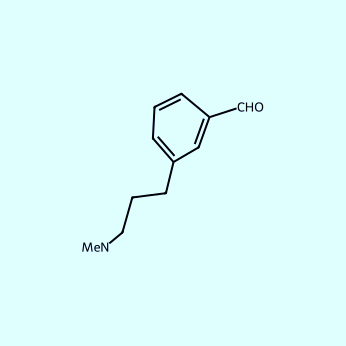 CNCCCc1cccc(C=O)c1